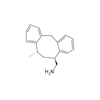 C[C@H]1C[C@H](CN)c2ccccc2Cc2ccccc21